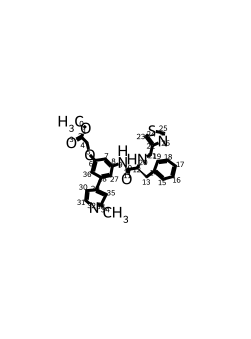 COC(=O)COc1cc(NC(=O)[C@H](Cc2ccccc2)NCc2cscn2)cc(-c2ccnc(C)c2)c1